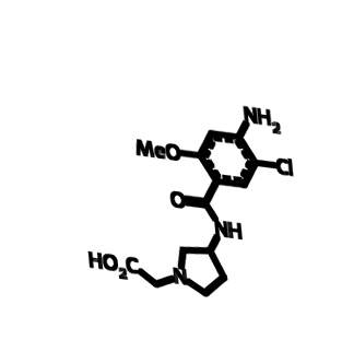 COc1cc(N)c(Cl)cc1C(=O)NC1CCN(CC(=O)O)C1